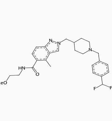 COCCNC(=O)c1ccc2nn(CC3CCN(Cc4ccc(C(F)F)cc4)CC3)cc2c1C